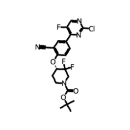 CC(C)(C)OC(=O)N1CC[C@H](Oc2ccc(-c3nc(Cl)ncc3F)cc2C#N)C(F)(F)C1